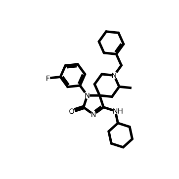 CC1CC2(CCN1CC1=CCCCC1)C(NC1CCCCC1)=NC(=O)N2c1cccc(F)c1